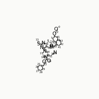 COCOc1cc(C2Cc3nc(SC)nc(N4CCN(C(=O)OCc5ccccc5)[C@@H](CC#N)C4)c3CO2)c2c(Br)cccc2c1